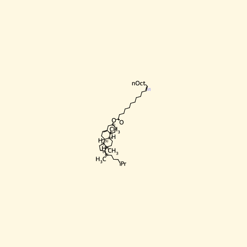 CCCCCCCC/C=C\CCCCCCCCCC(=O)O[C@H]1CC[C@@]2(C)C(=CC[C@H]3[C@@H]4CC[C@H]([C@H](C)CCCC(C)C)[C@@]4(C)CC[C@@H]32)C1